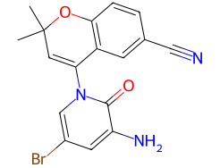 CC1(C)C=C(n2cc(Br)cc(N)c2=O)c2cc(C#N)ccc2O1